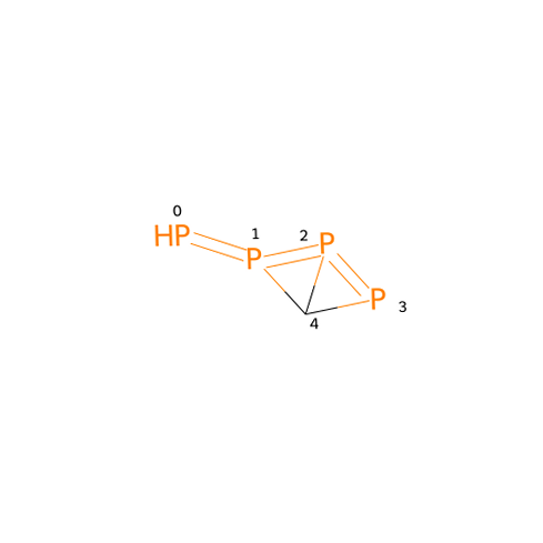 P=P1=P2=PC12